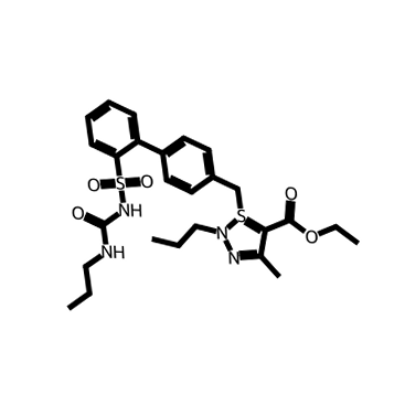 CCCNC(=O)NS(=O)(=O)c1ccccc1-c1ccc(CS2=C(C(=O)OCC)C(C)=NN2CCC)cc1